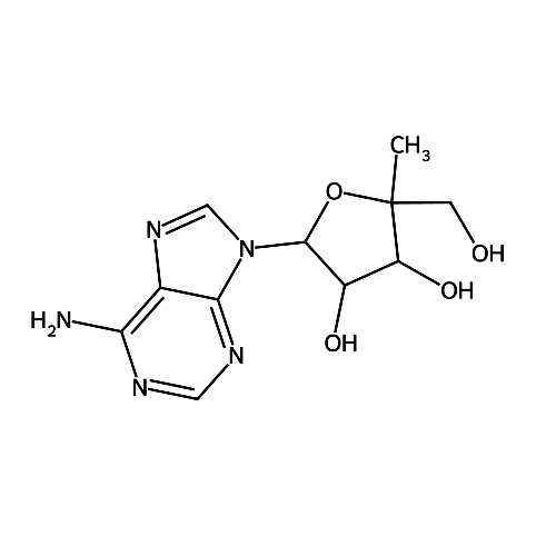 CC1(CO)OC(n2cnc3c(N)ncnc32)C(O)C1O